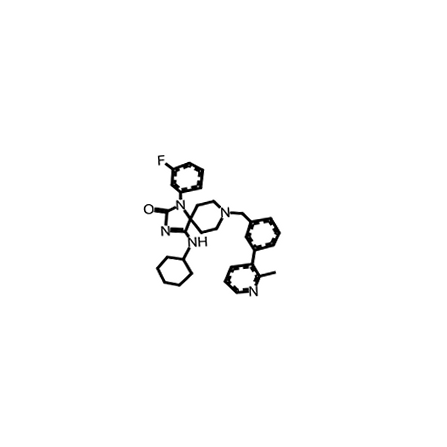 Cc1ncccc1-c1cccc(CN2CCC3(CC2)C(NC2CCCCC2)=NC(=O)N3c2cccc(F)c2)c1